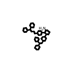 Nc1cccc(-c2ccc(C=C(c3ccccc3)c3ccccc3)cc2)c1-c1ccc(C=CC=C(c2ccccc2)c2ccccc2)cc1